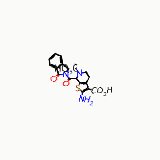 Nc1sc2c(c1C(=O)O)CCN(C(=O)O)C2C(=O)N1Cc2ccccc2C1=O